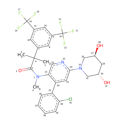 CN(C(=O)C(C)(C)c1cc(C(F)(F)F)cc(C(F)(F)F)c1)c1cnc(N2C[C@@H](O)C[C@H](O)C2)cc1-c1ccccc1Cl